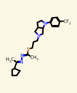 C/C(=N\N=C(/C)C1CCCC1)SCCCN1CC2CCN(c3ccc(C(F)(F)F)cc3)C2C1